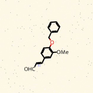 COc1cc(/C=C/C=O)ccc1OCc1ccccc1